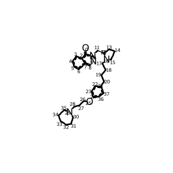 O=c1c2ccccc2cnn1C[C@H]1CCCN1CCCCc1ccc(OCCCN2CCCCCC2)cc1